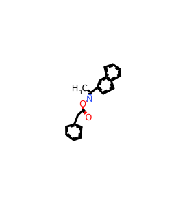 C/C(=N\OC(=O)Cc1ccccc1)c1ccc2ccccc2c1